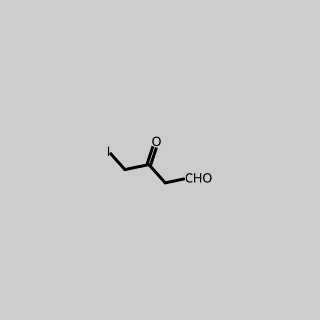 O=CCC(=O)CI